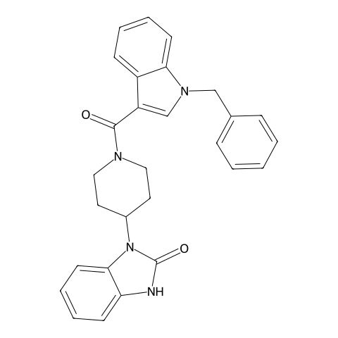 O=C(c1cn(Cc2ccccc2)c2ccccc12)N1CCC(n2c(=O)[nH]c3ccccc32)CC1